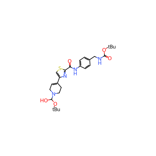 CC(C)(C)OC(=O)NCc1ccc(NC(=O)c2nc(C3=CCN(C(O)OC(C)(C)C)CC3)cs2)cc1